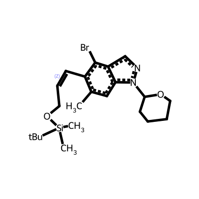 Cc1cc2c(cnn2C2CCCCO2)c(Br)c1/C=C\CO[Si](C)(C)C(C)(C)C